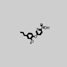 CCCc1ccc(Oc2ccc([N+](=O)O)nc2)c(OC)c1